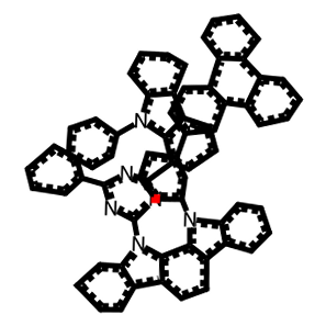 c1ccc(-c2nc(-c3cccc4c5ccccc5n(-c5ccccc5)c34)nc(-n3c4ccccc4c4ccc5c6ccccc6n(-c6cccc(-c7ccc8c9ccccc9c9ccccc9c8c7)c6)c5c43)n2)cc1